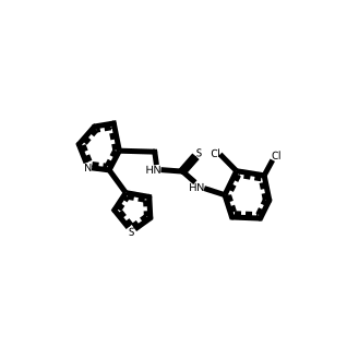 S=C(NCc1cccnc1-c1ccsc1)Nc1cccc(Cl)c1Cl